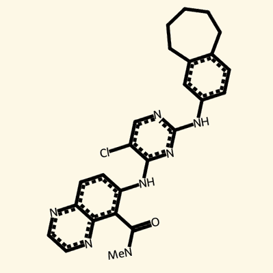 CNC(=O)c1c(Nc2nc(Nc3ccc4c(c3)CCCCC4)ncc2Cl)ccc2nccnc12